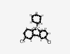 Clc1ccc2c(c1)c1cc(Cl)ccc1[s+]2-c1ccccc1